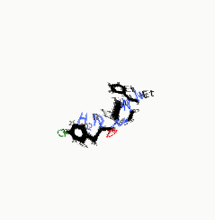 CCN(CC)CC(C1CCCC1)N1CCN(C(=O)C(N)Cc2ccc(Cl)cc2)CC1